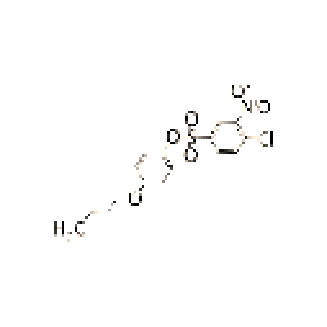 CCCCOc1ccc(OS(=O)(=O)c2ccc(Cl)c([N+](=O)[O-])c2)cc1